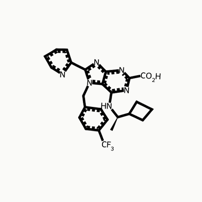 C[C@@H](Nc1nc(C(=O)O)nc2nc(-c3ccccn3)n(Cc3ccc(C(F)(F)F)cc3)c12)C1CCC1